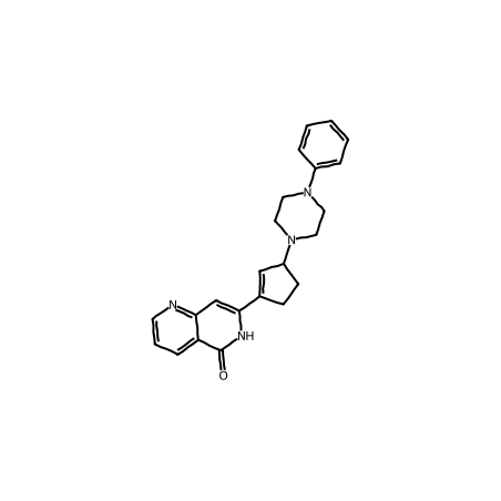 O=c1[nH]c(C2=CC(N3CCN(c4ccccc4)CC3)CC2)cc2ncccc12